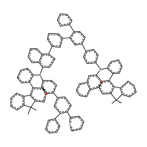 CC1(C)c2ccccc2-c2c(-c3ccccc3N(c3ccc(-c4ccc(-c5ccccc5)c(-c5cccc(-c6ccc(N(c7ccc(-c8ccc(-c9ccccc9)c(-c9ccccc9)c8)cc7)c7ccccc7-c7cccc8c7-c7ccccc7C8(C)C)c7ccccc67)c5)c4)cc3)c3ccc4ccccc4c3)cccc21